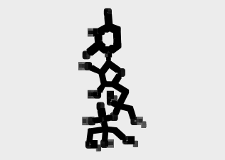 CCC(C)(CC1O[C@@H](n2ccc(=O)[nH]c2=O)[C@H](O)[C@@H]1O)OP(=O)(O)C(O)(CC)CC